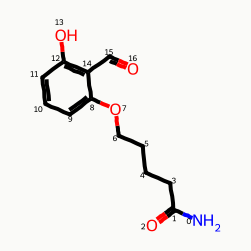 NC(=O)CCCCOc1cccc(O)c1C=O